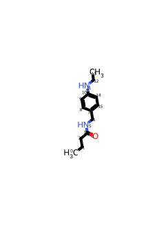 CCCC(=O)NCc1ccc(NCC)cc1